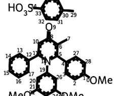 COc1ccc(-c2c(C)c(=O)cc(-c3ccccc3)n2-c2cc(OC)cc(OC)c2)cc1.Cc1ccc(S(=O)(=O)O)cc1